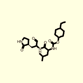 CCC1CCC(OC(=O)NC(CC(C)C)C(=O)NC(C=O)C[C@@H]2CCNC2=O)CC1